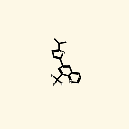 CC(C)c1ccc(-c2cc(C(F)(F)F)c3ncccc3c2)o1